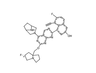 C#Cc1c(F)ccc2cc(O)cc(-c3ncc4c(N5CC6CCC(C5)N6)nc(OCC56CCCN5C[C@H](F)C6)nc4n3)c12